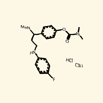 CNC(CCNc1ccc(F)cc1)c1ccc(OC(=O)N(C)C)cc1.Cl.Cl